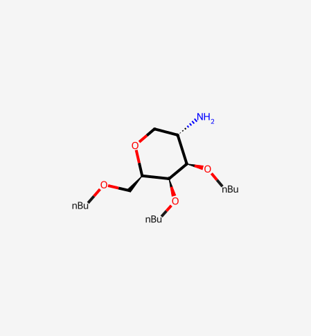 CCCCOC[C@H]1OC[C@H](N)[C@@H](OCCCC)[C@H]1OCCCC